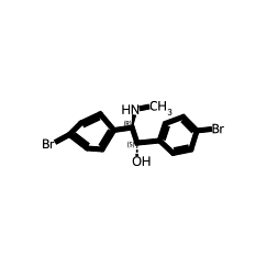 CN[C@H](c1ccc(Br)cc1)[C@@H](O)c1ccc(Br)cc1